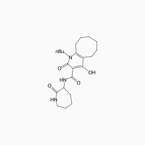 CCCCn1c2c(c(O)c(C(=O)NC3CCCCNC3=O)c1=O)CCCCCC2